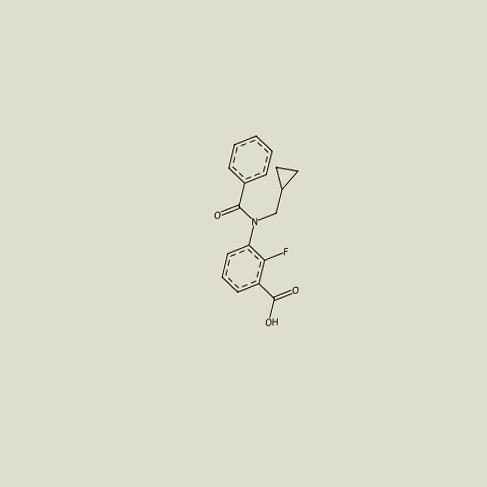 O=C(O)c1cccc(N(CC2CC2)C(=O)c2ccccc2)c1F